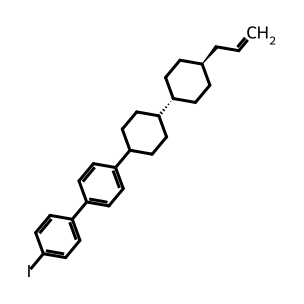 C=CC[C@H]1CC[C@H](C2CCC(c3ccc(-c4ccc(I)cc4)cc3)CC2)CC1